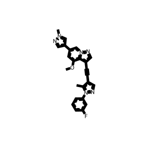 COc1cc(-c2cnn(C)c2)cn2ncc(C#Cc3cnn(-c4cccc(F)c4)c3C)c12